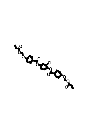 C=CC(=O)OCOc1ccc(C(=O)Oc2ccc(OC(=O)c3ccc(OCOC(=O)C=C)cc3)c(Cl)c2)cc1